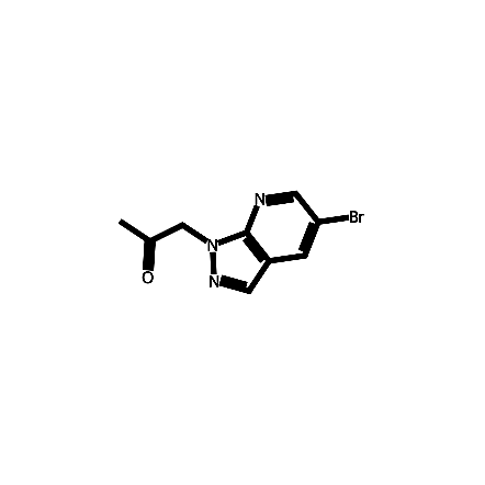 CC(=O)Cn1ncc2cc(Br)cnc21